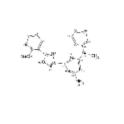 COc1ncccc1-c1nc(-c2nc(N)nc(N(C)c3ccccc3)n2)no1